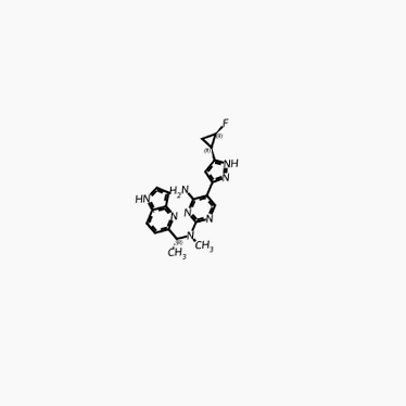 C[C@H](c1ccc2[nH]ccc2n1)N(C)c1ncc(-c2cc([C@H]3C[C@H]3F)[nH]n2)c(N)n1